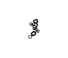 O=[N+]([O-])c1ccccc1CCCS(=O)(=O)c1ccc(Cl)cc1